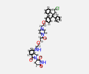 O=C1CCC(N2Cc3c(NCCOCCC(=O)N4CCN(CCOc5ccc(/C(=C(/CCCl)c6ccccc6)c6ccccc6)cc5)CC4)cccc3C2=O)C(=O)N1